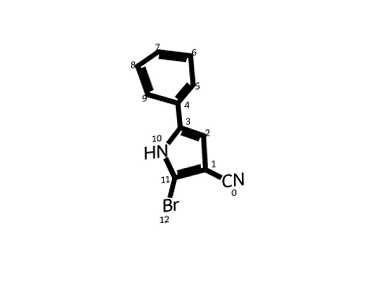 N#Cc1cc(-c2ccccc2)[nH]c1Br